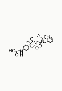 C[C@@H](C1CC1)N(Cc1ccccc1)C(=O)CN1C(=O)OC2(CCc3cc(NCC(=O)O)ccc32)C1=O